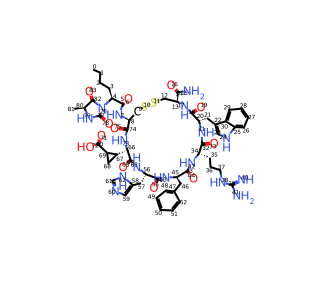 CCCC[C@@H](C(=O)N[C@H]1CSSC[C@@H](C(N)=O)NC(=O)[C@H](Cc2c[nH]c3ccccc23)NC(=O)[C@H](CCCNC(=N)N)NC(=O)[C@@H](Cc2ccccc2)NC(=O)[C@H](Cc2cnc[nH]2)NC(=O)[C@H](C2CC2C(=O)O)NC1=O)N1C(=O)N[C@@H](C)C1=O